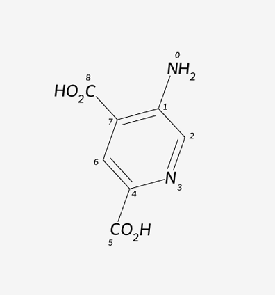 Nc1cnc(C(=O)O)cc1C(=O)O